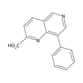 O=C(O)c1ccc2cncc(-c3ccccc3)c2n1